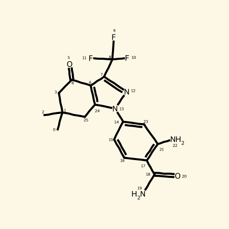 CC1(C)CC(=O)c2c(C(F)(F)F)nn(-c3ccc(C(N)=O)c(N)c3)c2C1